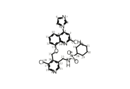 Cc1cc(-n2ccnc2)c2cccc(OCc3c(Cl)cncc3CNS(=O)(=O)C3CCCCC3)c2n1